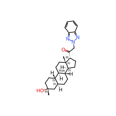 C[C@@]1(O)CC[C@H]2[C@@H](CC[C@@H]3[C@@H]2CC[C@]2(C)[C@H](C(=O)Cn4nc5ccccc5n4)CC[C@@H]32)C1